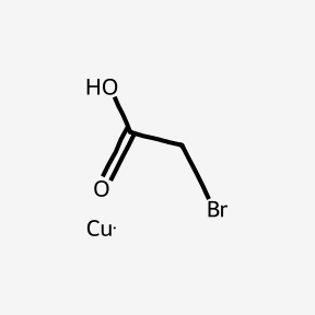 O=C(O)CBr.[Cu]